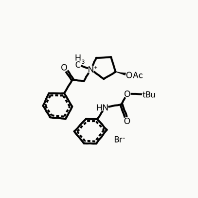 CC(=O)O[C@@H]1CC[N+](C)(CC(=O)c2ccccc2)C1.CC(C)(C)OC(=O)Nc1ccccc1.[Br-]